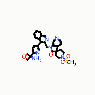 CS(=O)(=O)N1CCC2(CC1)C(=O)N(Cc1ncc3ccccc3c1-c1ccc(C3(N)COC3)nc1)c1cnccc12